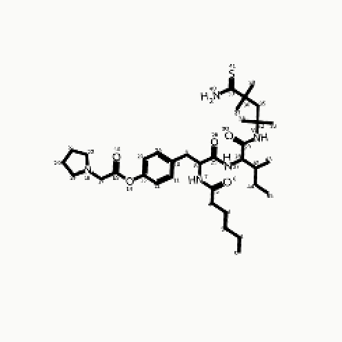 CCCCCC(=O)NC(Cc1ccc(OC(=O)CN2CCCC2)cc1)C(=O)NC(C(=O)NC(C)(C)CC(C)(C)C(N)=S)C(C)CC